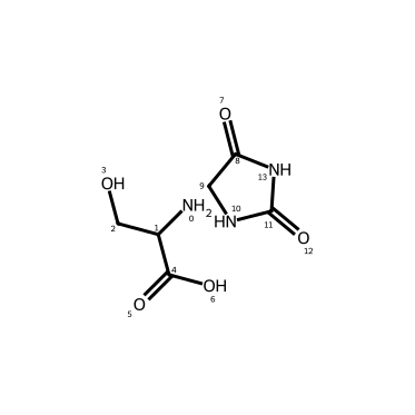 NC(CO)C(=O)O.O=C1CNC(=O)N1